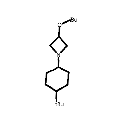 CCC(C)OC1CN(C2CCC(C(C)(C)C)CC2)C1